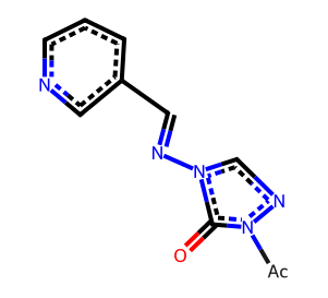 CC(=O)n1ncn(N=Cc2cccnc2)c1=O